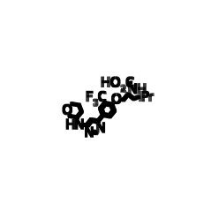 CC(C)C[C@@](C)(COc1ccc(-c2cc(NC3CCCOC3)ncn2)cc1C(F)(F)F)NC(=O)O